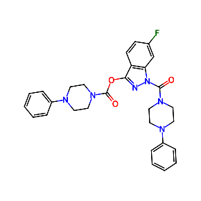 O=C(Oc1nn(C(=O)N2CCN(c3ccccc3)CC2)c2cc(F)ccc12)N1CCN(c2ccccc2)CC1